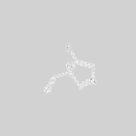 O=C[SH]1[C]=NC=C1F